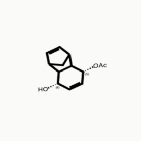 CC(=O)O[C@@H]1C=C[C@H](O)C2C3C=CC(C3)C21